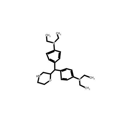 CCN(CC)c1ccc(C(c2ccc(N(CC)CC)cc2)C2CNCCO2)cc1